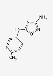 Cc1ccc(Nc2nc(N)no2)cc1